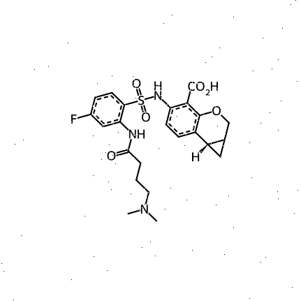 CN(C)CCCC(=O)Nc1cc(F)ccc1S(=O)(=O)Nc1ccc2c(c1C(=O)O)OCC1C[C@H]21